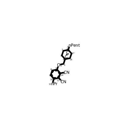 CCCCCC12CCC(COc3ccc(CCC)c(C#N)c3C#N)(CC1)CC2